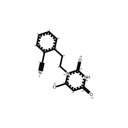 N#Cc1ccccc1CCn1c(Cl)cc(=O)[nH]c1=O